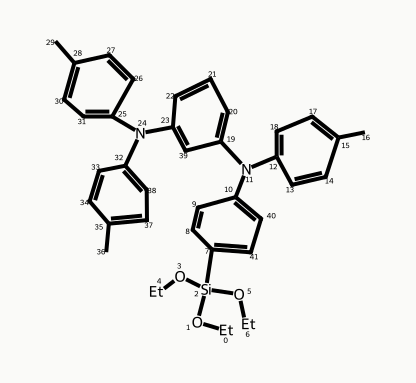 CCO[Si](OCC)(OCC)c1ccc(N(c2ccc(C)cc2)c2cccc(N(c3ccc(C)cc3)c3ccc(C)cc3)c2)cc1